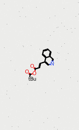 CC(C)(C)C(=O)OC(=O)/C=C/c1cncc2ccccc12